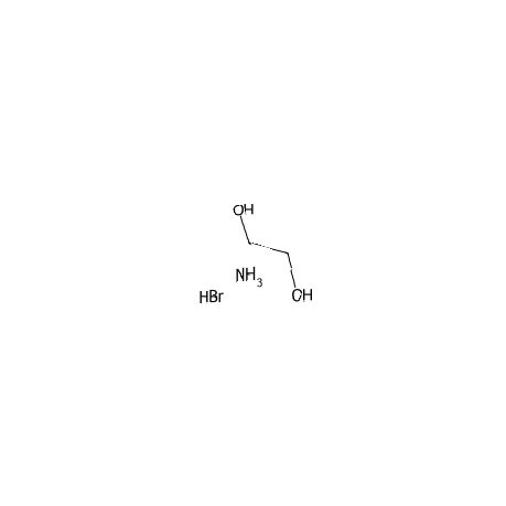 Br.N.OCCO